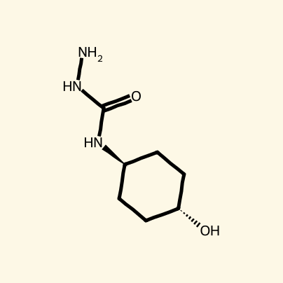 NNC(=O)N[C@H]1CC[C@H](O)CC1